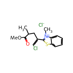 COC(=O)C(C)CC(=CCl)c1sc2ccccc2[n+]1C.[Cl-]